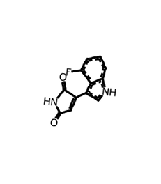 O=C1C=C(c2c[nH]c3cccc(F)c23)C(=O)N1